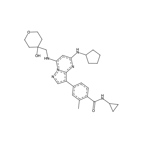 Cc1cc(-c2cnn3c(NCC4(O)CCOCC4)cc(NC4CCCC4)nc23)ccc1C(=O)NC1CC1